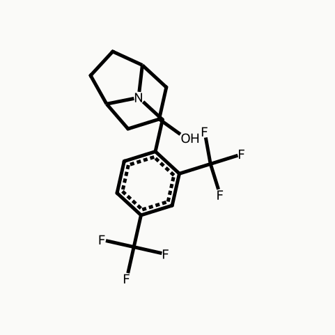 OC1CC2CCC(C1)N2Cc1ccc(C(F)(F)F)cc1C(F)(F)F